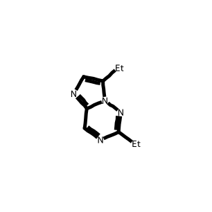 CCc1ncc2ncc(CC)n2n1